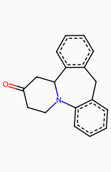 O=C1CCN2c3ccccc3Cc3ccccc3C2C1